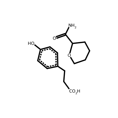 NC(=O)C1CCCCO1.O=C(O)CCc1ccc(O)cc1